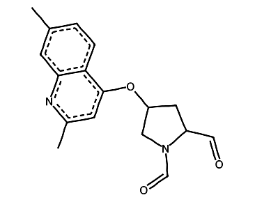 Cc1ccc2c(OC3CC(C=O)N(C=O)C3)cc(C)nc2c1